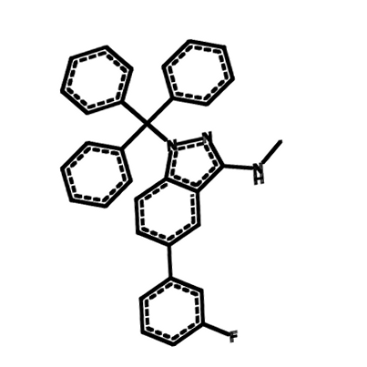 CNc1nn(C(c2ccccc2)(c2ccccc2)c2ccccc2)c2ccc(-c3cccc(F)c3)cc12